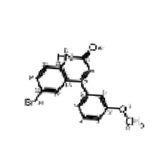 COc1cccc(-c2cc(=O)[nH]c3ccc(Br)cc23)c1